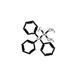 [CH3][Sn]([CH3])([CH3])[Ge]([c]1ccccc1)([c]1ccccc1)[c]1ccccc1